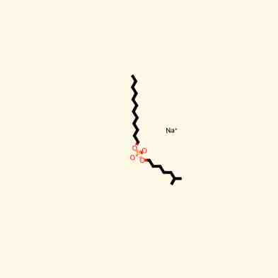 CCCCCCCCCCCCOP(=O)([O-])OCCCCCC(C)C.[Na+]